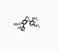 COc1cc(C(C)C)c(Oc2cnc(N)nc2N)cc1-c1cnc[nH]1